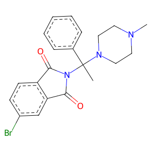 CN1CCN(C(C)(c2ccccc2)N2C(=O)c3ccc(Br)cc3C2=O)CC1